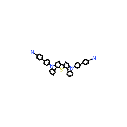 N#Cc1ccc(-c2ccc(-n3c4ccccc4c4c5sc6c(ccc7c6c6ccccc6n7-c6ccc(-c7ccc(C#N)cc7)cc6)c5ccc43)cc2)cc1